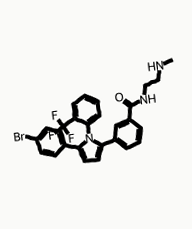 CNCCNC(=O)c1cccc(-c2ccc(-c3ccc(Br)cc3)n2-c2ccccc2C(F)(F)F)c1